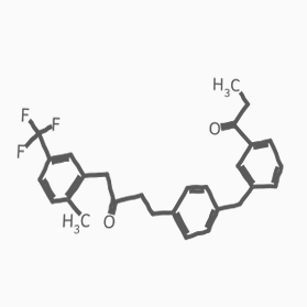 CCC(=O)c1cccc(Cc2ccc(CCC(=O)Cc3cc(C(F)(F)F)ccc3C)cc2)c1